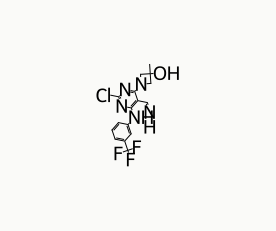 CC1(O)CN(c2nc(Cl)nc(Nc3cccc(C(F)(F)F)c3)c2C=N)C1